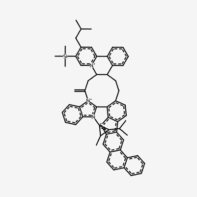 C=C1CC2C(CCc3ccc4c(sc5cc6ccc7ccccc7c6cc54)c3-c3n(C4=C(C(C)C)C4C)c4ccccc4[n+]31)c1ccccc1-c1cc(CC(C)C)c([Si](C)(C)C)c[n+]12